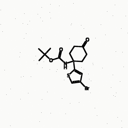 CC(C)(C)OC(=O)NC1(c2cc(Br)cs2)CCC(=O)CC1